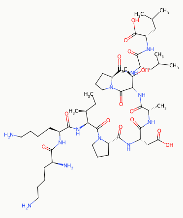 CC[C@H](C)[C@H](NC(=O)[C@H](CCCCN)NC(=O)[C@@H](N)CCCCN)C(=O)N1CCC[C@H]1C(=O)N[C@@H](CC(=O)O)C(=O)N[C@@H](C)C(=O)N[C@H](C(=O)N1CCC[C@H]1C(=O)N[C@@H](CC(C)C)C(=O)N[C@@H](CC(C)C)C(=O)O)[C@@H](C)O